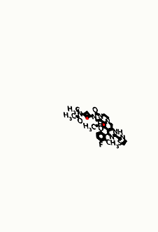 CCOC(=O)C1=C(CN2CCN3C(=O)N(C45CC(N(C)C(C)=O)(C4)C5)C[C@@H]3C2)NC(c2nccs2)=N[C@H]1c1cccc(F)c1C